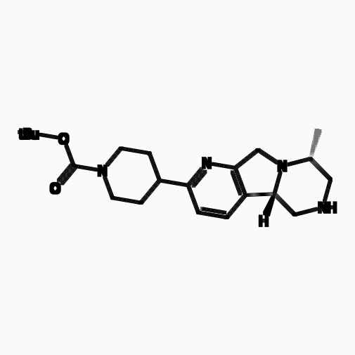 C[C@@H]1CNC[C@@H]2c3ccc(C4CCN(C(=O)OC(C)(C)C)CC4)nc3CN12